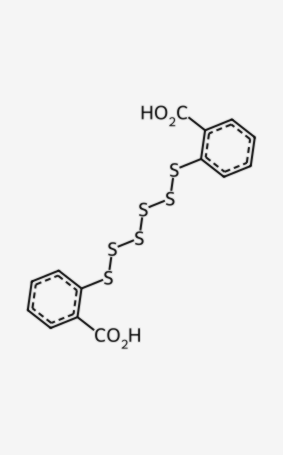 O=C(O)c1ccccc1SSSSSSc1ccccc1C(=O)O